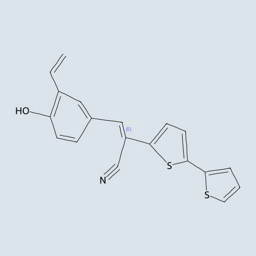 C=Cc1cc(/C=C(\C#N)c2ccc(-c3cccs3)s2)ccc1O